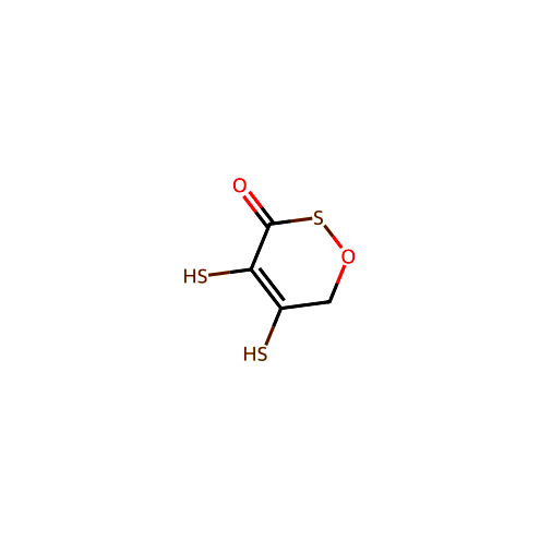 O=C1SOCC(S)=C1S